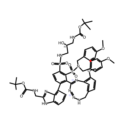 COc1ccc(CN(Cc2ccc(OC)cc2)S(=O)(=O)c2c(S(=O)(=O)NC[C@@H](O)CNC(=O)OC(C)(C)C)ccc(-c3cccc4[nH]c(CNC(=O)OC(C)(C)C)nc34)c2C2=N/c3cc(ccc3OC)CN/N=N\2)cc1